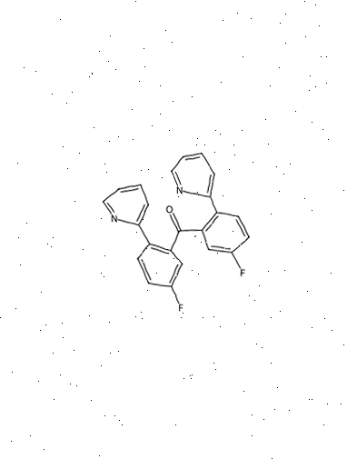 O=C(c1cc(F)ccc1-c1ccccn1)c1cc(F)ccc1-c1ccccn1